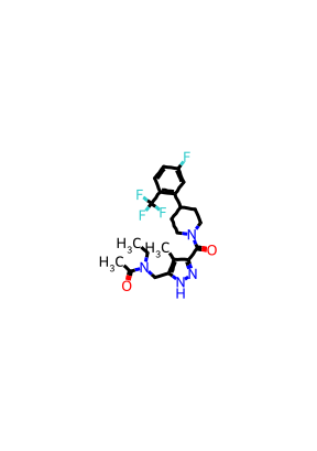 CCN(Cc1[nH]nc(C(=O)N2CCC(c3cc(F)ccc3C(F)(F)F)CC2)c1C)C(C)=O